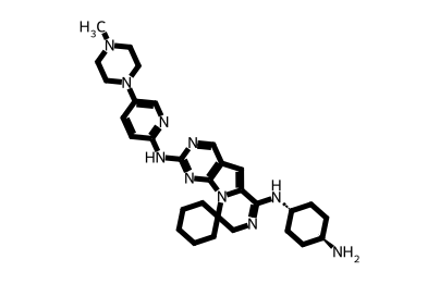 CN1CCN(c2ccc(Nc3ncc4cc5n(c4n3)C3(CCCCC3)CN=C5N[C@H]3CC[C@H](N)CC3)nc2)CC1